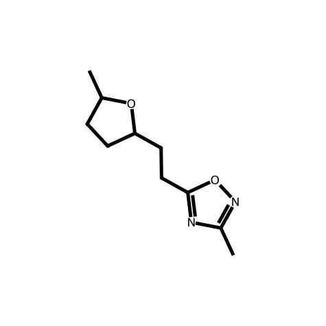 Cc1noc(CCC2CCC(C)O2)n1